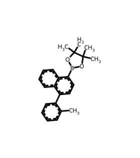 Cc1ccccc1-c1ccc(B2OC(C)(C)C(C)(C)O2)c2ccccc12